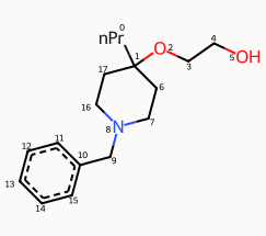 CCCC1(OCCO)CCN(Cc2ccccc2)CC1